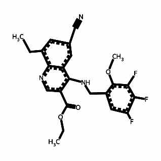 CCOC(=O)c1cnc2c(CC)cc(C#N)cc2c1NCc1cc(F)c(F)c(F)c1OC